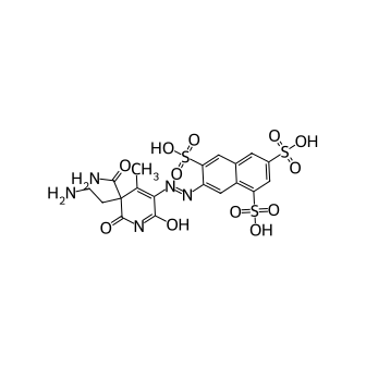 CC1=C(N=Nc2cc3c(S(=O)(=O)O)cc(S(=O)(=O)O)cc3cc2S(=O)(=O)O)C(O)=NC(=O)C1(CCN)C(N)=O